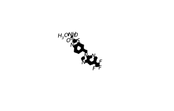 CNS(=O)(=O)c1nc2ccc(Cn3cnc4cc(C(F)(F)F)cnc43)cc2s1